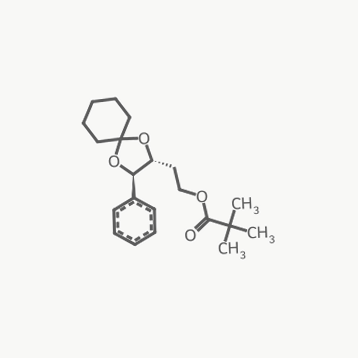 CC(C)(C)C(=O)OCC[C@H]1OC2(CCCCC2)O[C@@H]1c1ccccc1